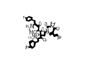 N[C@@H](Cc1ccc(F)cc1)C(=O)C(O)[C@H]1O[C@@H](n2cc(/C=C/Br)c(=O)[nH]c2=O)C[C@@]1(O)C(=O)[C@@H](N)Cc1ccc(F)cc1